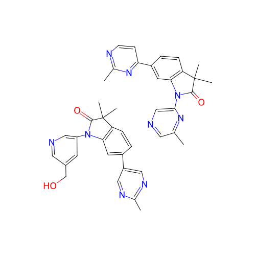 Cc1cncc(N2C(=O)C(C)(C)c3ccc(-c4ccnc(C)n4)cc32)n1.Cc1ncc(-c2ccc3c(c2)N(c2cncc(CO)c2)C(=O)C3(C)C)cn1